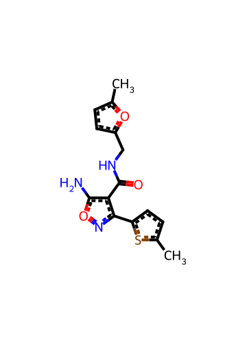 Cc1ccc(CNC(=O)c2c(-c3ccc(C)s3)noc2N)o1